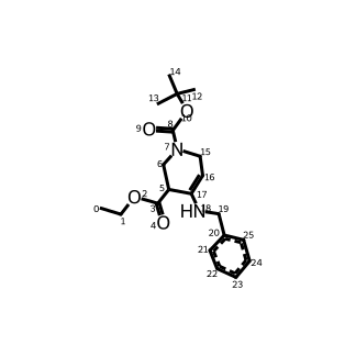 CCOC(=O)C1CN(C(=O)OC(C)(C)C)CC=C1NCc1ccccc1